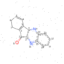 O=C1C2=C(C=CCC2)c2nc3ccccc3nc21